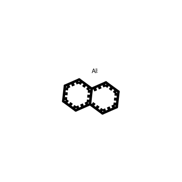 [Al].c1ccc2ccccc2c1